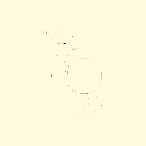 CC(C)C[C@@H]1NC(=O)[C@@H](N(C)C(=O)[C@@H](NC(=O)OC(C)(C)C)C2CC2)CC=CCCCCN(C)C(=O)[C@H](Cc2cc(F)ccc2Br)N(C)C1=O